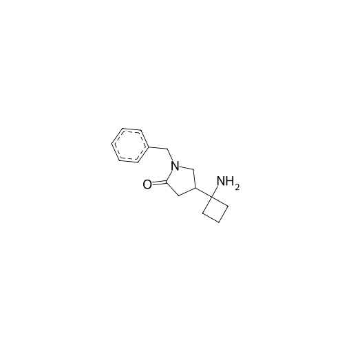 NC1(C2CC(=O)N(Cc3ccccc3)C2)CCC1